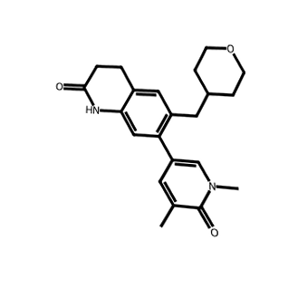 Cc1cc(-c2cc3c(cc2CC2CCOCC2)CCC(=O)N3)cn(C)c1=O